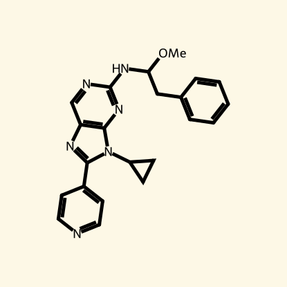 COC(Cc1ccccc1)Nc1ncc2nc(-c3ccncc3)n(C3CC3)c2n1